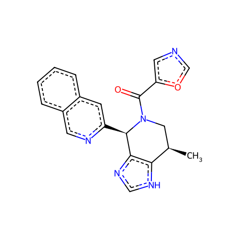 C[C@@H]1CN(C(=O)c2cnco2)[C@H](c2cc3ccccc3cn2)c2nc[nH]c21